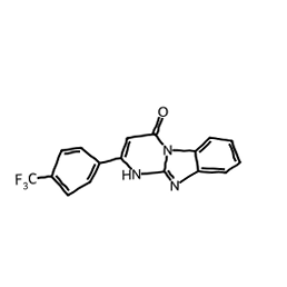 O=c1cc(-c2ccc(C(F)(F)F)cc2)[nH]c2nc3ccccc3n12